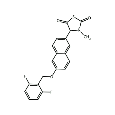 CN1C(=O)SC(=O)C1c1ccc2cc(OCc3c(F)cccc3F)ccc2c1